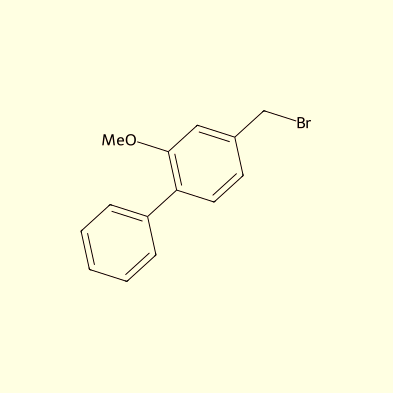 COc1cc(CBr)ccc1-c1ccccc1